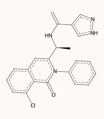 C=C(N[C@@H](C)c1cc2cccc(Cl)c2c(=O)n1-c1ccccc1)c1cn[nH]c1